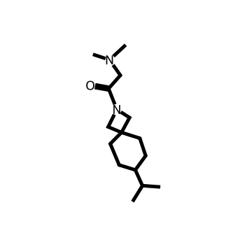 CC(C)C1CCC2(CC1)CN(C(=O)CN(C)C)C2